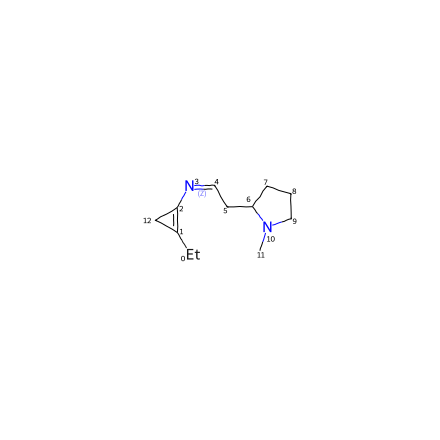 CCC1=C(/N=C\CC2CCCN2C)C1